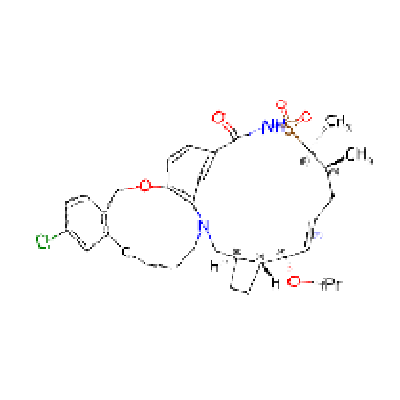 CC(C)O[C@H]1/C=C/C[C@H](C)[C@@H](C)S(=O)(=O)NC(=O)c2ccc3c(c2)N(CCCCc2cc(Cl)ccc2CO3)C[C@@H]2CC[C@H]21